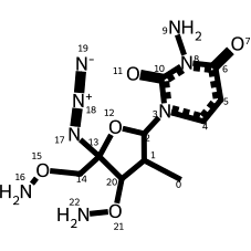 CC1C(n2ccc(=O)n(N)c2=O)OC(CON)(N=[N+]=[N-])C1ON